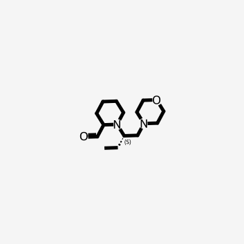 CC[C@@H](CN1CCOCC1)N1CCCCC1C=O